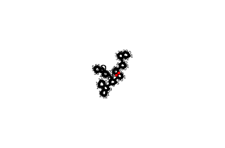 c1ccc(-c2ccc(-c3cc4ccccc4c4ccccc34)cc2N(c2ccc(-c3cccc(-c4cccc5ccccc45)c3)cc2)c2ccc3c(c2)oc2ccccc23)cc1